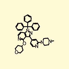 CN1CCN(c2cc(-c3nn(C(c4ccccc4)(c4ccccc4)c4ccccc4)c4ccnc(OC5CCOCC5)c34)ccn2)CC1